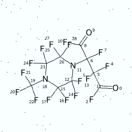 O=C(F)C(F)(F)C(F)(C(=O)F)N1C(F)(F)C(F)(F)N(C(F)(F)F)C(F)(F)C1(F)F